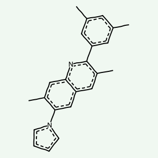 Cc1cc(C)cc(-c2nc3cc(C)c(-n4cccc4)cc3cc2C)c1